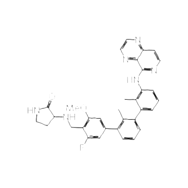 COc1cc(-c2cccc(-c3cccc(Nc4nccc5nccnc45)c3C)c2C)cc(F)c1CNC1CCNC1=O